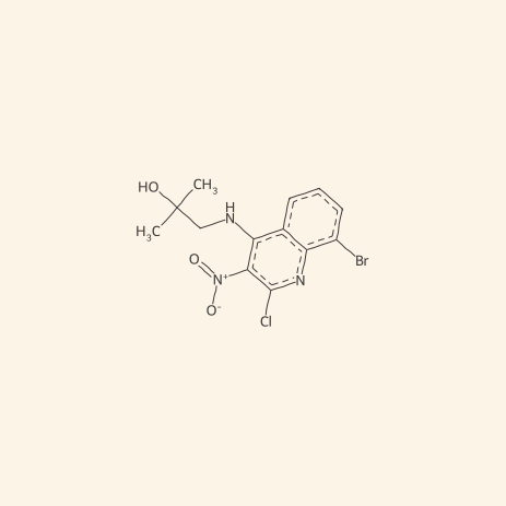 CC(C)(O)CNc1c([N+](=O)[O-])c(Cl)nc2c(Br)cccc12